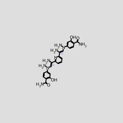 NC(=O)c1ccc(N(N)/C=C(\N)c2cccc(/C(N)=C/N(N)c3ccc(C(N)=O)c(O)c3)n2)cc1O